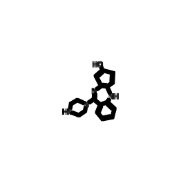 Oc1ccc2c(c1)N=C(N1CCNCC1)c1ccccc1N2